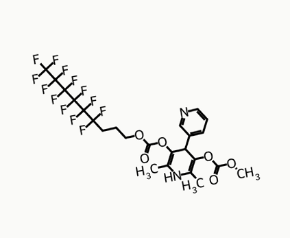 COC(=O)OC1=C(C)NC(C)=C(OC(=O)OCCCC(F)(F)C(F)(F)C(F)(F)C(F)(F)C(F)(F)C(F)(F)F)C1c1cccnc1